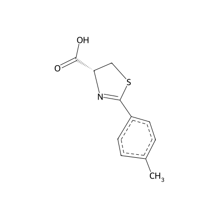 Cc1ccc(C2=N[C@H](C(=O)O)CS2)cc1